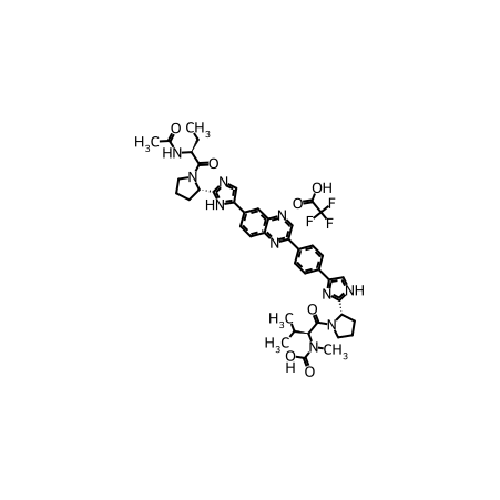 CC[C@H](NC(C)=O)C(=O)N1CCC[C@H]1c1ncc(-c2ccc3nc(-c4ccc(-c5c[nH]c([C@@H]6CCCN6C(=O)[C@H](C(C)C)N(C)C(=O)O)n5)cc4)cnc3c2)[nH]1.O=C(O)C(F)(F)F